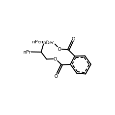 CCCCCCCCCCOC(=O)c1ccccc1C(=O)OCC(CCC)CCCCC